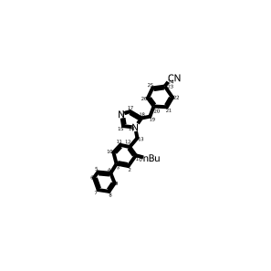 CCCCc1cc(-c2ccccc2)ccc1Cn1cncc1Cc1ccc(C#N)cc1